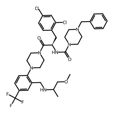 COCC(C)NCc1cc(C(F)(F)F)ccc1N1CCN(C(=O)[C@@H](Cc2ccc(Cl)cc2Cl)NC(=O)N2CCN(Cc3ccccc3)CC2)CC1